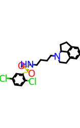 O=S(=O)(NCCCCN1CCc2cccc3c2C1CC3)c1cc(Cl)ccc1Cl